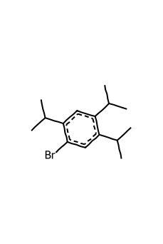 CC(C)c1cc(C(C)C)c(C(C)C)cc1Br